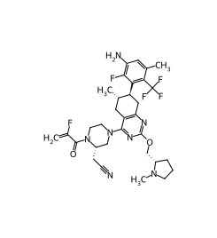 C=C(F)C(=O)N1CCN(c2nc(OC[C@@H]3CCCN3C)nc3c2C[C@H](C)[C@@H](c2c(F)c(N)cc(C)c2C(F)(F)F)C3)C[C@@H]1CC#N